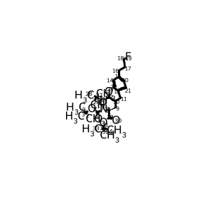 CC(C)(C)OC(=O)N[C@@H](CC(Cc1ccc(CCCF)cc1)C(=O)OC(C)(C)C)C(=O)OC(C)(C)C